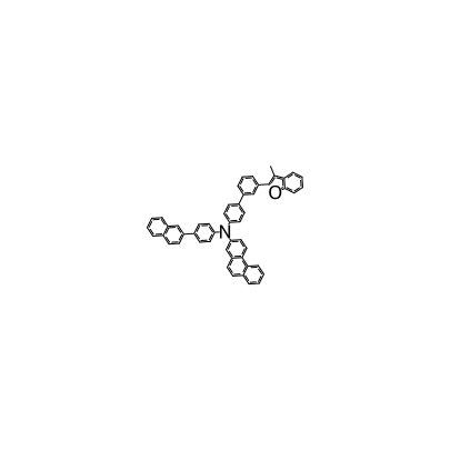 Cc1c(-c2cccc(-c3ccc(N(c4ccc(-c5ccc6ccccc6c5)cc4)c4ccc5c(ccc6ccccc65)c4)cc3)c2)oc2ccccc12